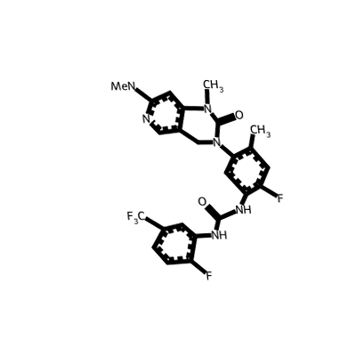 CNc1cc2c(cn1)CN(c1cc(NC(=O)Nc3cc(C(F)(F)F)ccc3F)c(F)cc1C)C(=O)N2C